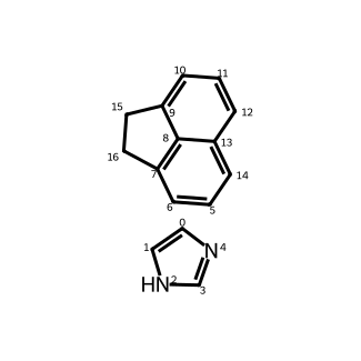 c1c[nH]cn1.c1cc2c3c(cccc3c1)CC2